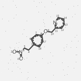 O=[N+]([O-])CCc1ccc(OCc2ccccn2)cc1